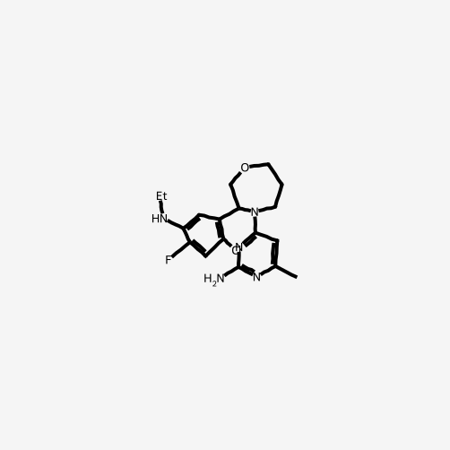 CCNc1cc(C2COCCCN2c2cc(C)nc(N)n2)c(Cl)cc1F